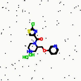 Cl.Cl.O=C(c1csc(Cl)n1)N1CCNCC1COc1cccnc1